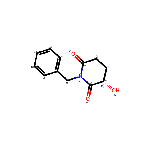 O=C1CC[C@H](O)C(=O)N1Cc1ccccc1